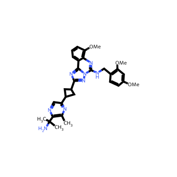 COc1ccc(CNc2nc3c(OC)cccc3c3nc(C4CC(c5cnc(C(C)(C)N)c(C)n5)C4)nn23)c(OC)c1